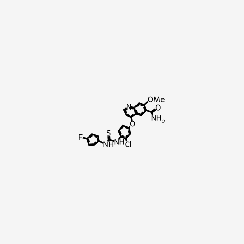 COc1cc2nccc(Oc3ccc(NC(=S)Nc4ccc(F)cc4)c(Cl)c3)c2cc1C(N)=O